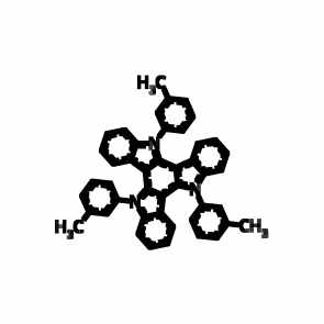 Cc1cccc(-n2c3ccccc3c3c2c2c4ccccc4n(-c4cccc(C)c4)c2c2c4ccccc4n(-c4cccc(C)c4)c32)c1